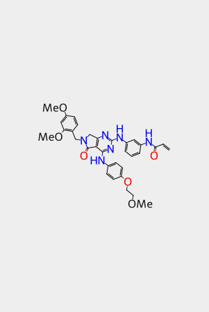 C=CC(=O)Nc1cccc(Nc2nc3c(c(Nc4ccc(OCCOC)cc4)n2)C(=O)N(Cc2ccc(OC)cc2OC)C3)c1